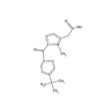 Cn1c(CC(=O)O)ccc1C(=O)c1ccc(C(C)(C)C)cc1